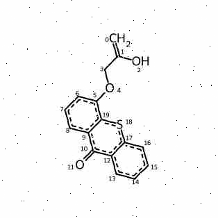 C=C(O)COc1cccc2c(=O)c3ccccc3sc12